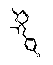 CC(C)C1(CCc2ccc(O)cc2)CC=CC(=O)O1